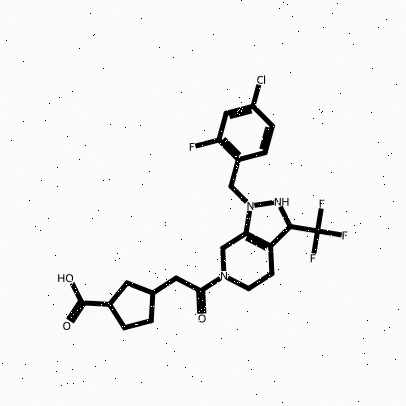 O=C(O)C1CCC(CC(=O)N2CCC3=C(C2)N(Cc2ccc(Cl)cc2F)NC3C(F)(F)F)C1